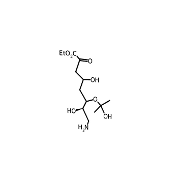 CCOC(=O)C(=O)CC(O)CC(OC(C)(C)O)[C@H](O)CN